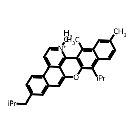 Cc1ccc2c(C(C)C)c3c(c(C)c2c1)-c1c2c(cc4cc(CC(C)C)ccc4c2cc[n+]1C)O3